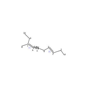 CC/C=C/CN/C=C(/C)CC